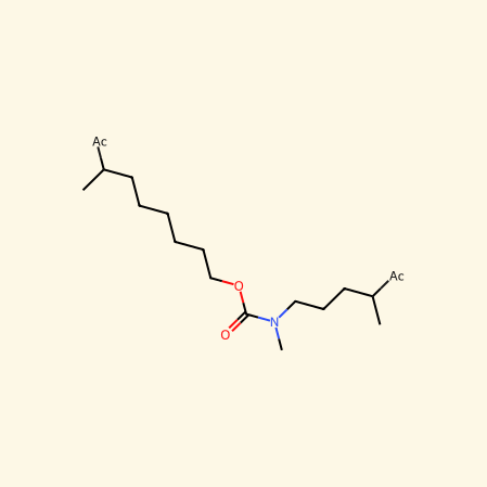 CC(=O)C(C)CCCCCCOC(=O)N(C)CCCC(C)C(C)=O